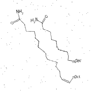 CCCCCCCC/C=C\CCCCCCCCCCCC(N)=O.CCCCCCCCCCCCCCCCCC(N)=O